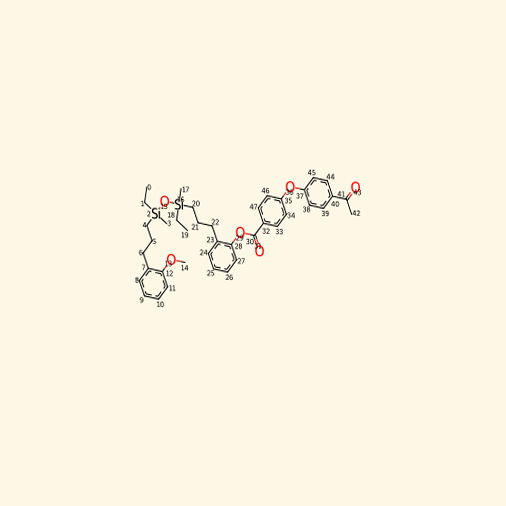 CC[Si](C)(CCCc1ccccc1OC)O[Si](C)(CC)CCCc1ccccc1OC(=O)c1ccc(Oc2ccc(C(C)=O)cc2)cc1